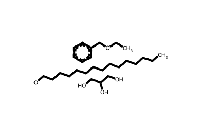 CCCCCCCCCCCCCCC[O].CCOCc1ccccc1.OCC(O)CO